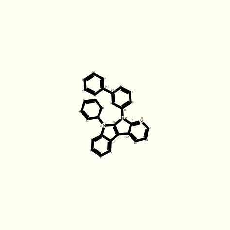 C1=CCC(n2c3ccccc3c3c4cccnc4n(-c4cccc(-c5ccccc5)c4)c32)C=C1